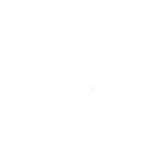 NC(c1cccc(Cl)c1)c1cc2ccccc2o1